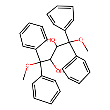 COC(c1ccccc1)(c1ccccc1)C(O)C(O)C(OC)(c1ccccc1)c1ccccc1